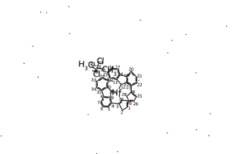 C1=CCC(c2cccc3c2[CH]([Hf][CH]2c4ccccc4-c4cccc(C5=CC=CC5)c42)c2ccccc2-3)=C1.C[Si](C)(Cl)Cl